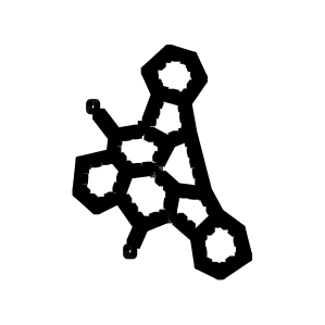 O=c1c2cccc3c(=O)n4c5ccccc5c5c6c7ccccc7n1c6n(c23)c54